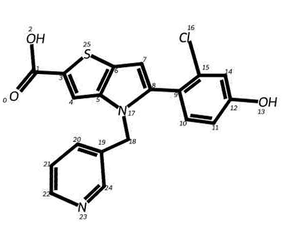 O=C(O)c1cc2c(cc(-c3ccc(O)cc3Cl)n2Cc2cccnc2)s1